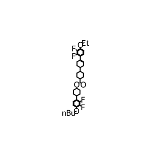 CCCCOc1ccc(C2CCC(OC(=O)C3CCC(C4CC=C(c5ccc(OCC)c(F)c5F)CC4)CC3)CC2)c(F)c1F